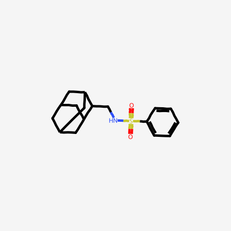 O=S(=O)(NCC1C2CC3CC(C2)CC1C3)c1ccccc1